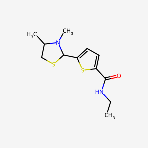 CCNC(=O)c1ccc(C2SCC(C)N2C)s1